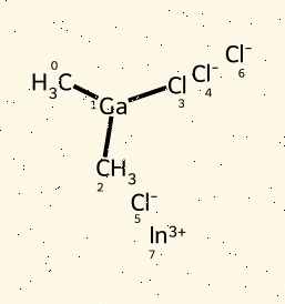 [CH3][Ga]([CH3])[Cl].[Cl-].[Cl-].[Cl-].[In+3]